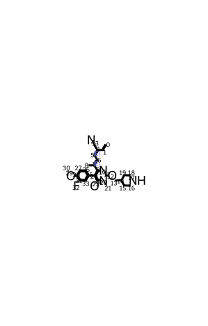 C=C/C(C#N)=C\C=C(/C)c1nc(OCC2CCNCC2)n(C)c(=O)c1-c1ccc(OC)c(F)c1